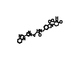 O=C(CC1CC1n1cc(-c2cnc3ccccc3n2)cn1)NCc1ccc2c(c1)CN(C1CCC(=O)NC1=O)C2=O